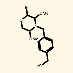 COC1COC(Br)C(OC)N1Cc1ccc(C[C](C)C)cc1